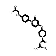 CC(C)CNc1ccc(-n2ccc(OC3CCN(C(=O)OC(C)C)CC3)cc2=O)cc1